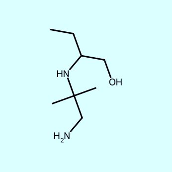 CCC(CO)NC(C)(C)CN